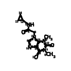 Cn1c(=O)c2ncn(CC(=O)NC3CC3)c2n(C)c1=O